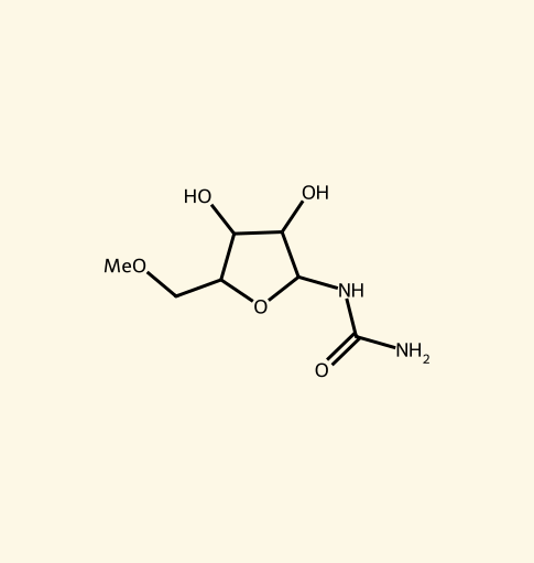 COCC1OC(NC(N)=O)C(O)C1O